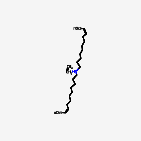 C=C.CCCCCCCC/C=C\CCCCCCCCNCCCCCCCC/C=C\CCCCCCCC